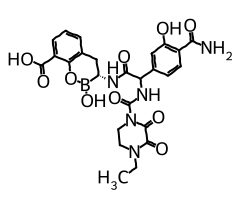 CCN1CCN(C(=O)NC(C(=O)N[C@H]2Cc3cccc(C(=O)O)c3OB2O)c2ccc(C(N)=O)c(O)c2)C(=O)C1=O